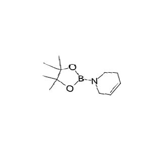 CC1(C)OB(N2CC=CCC2)OC1(C)C